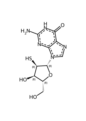 Nc1nc2c(ncn2[C@@H]2O[C@H](CO)[C@@H](O)[C@H]2S)c(=O)[nH]1